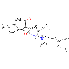 CNC(=O)c1c(-c2ccc(C)cc2)oc2nc(N(CCCC(CC(=O)O)OC)SC)c(C3CC3)cc12